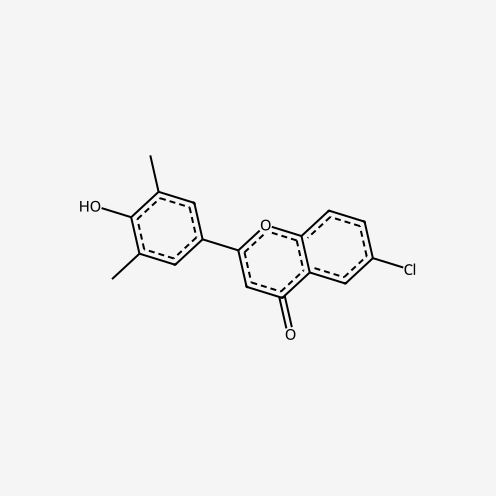 Cc1cc(-c2cc(=O)c3cc(Cl)ccc3o2)cc(C)c1O